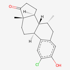 C[C@@H]1Cc2cc(O)c(Cl)cc2[C@H]2CC[C@]3(C)C(=O)CC[C@H]3[C@H]12